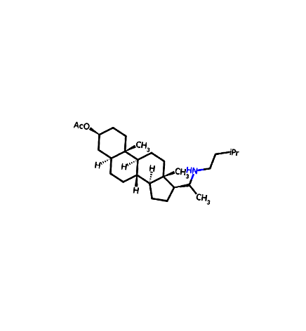 CC(=O)O[C@H]1CC[C@@]2(C)[C@@H](CC[C@@H]3[C@@H]2CC[C@]2(C)[C@@H](C(C)NCCC(C)C)CC[C@@H]32)C1